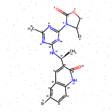 CCC1COC(=O)N1c1nc(C)nc(N[C@@H](C)c2cc3cc(Br)ccc3[nH]c2=O)n1